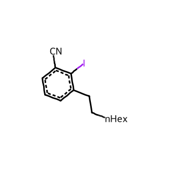 CCCCCCCCc1cccc(C#N)c1I